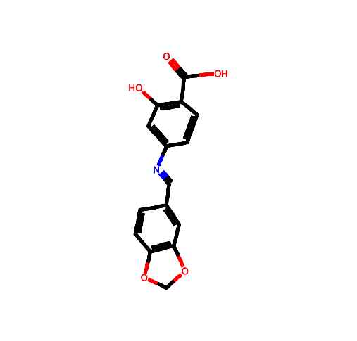 O=C(O)c1ccc(/N=C/c2ccc3c(c2)OCO3)cc1O